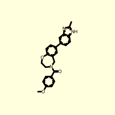 COc1ccc(C(=O)N2CCOc3ccc(-c4ccc5[nH]c(C)nc5c4)cc3C2)cc1